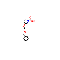 O=C(O)N1CCC(OCCOCc2ccccc2)C1